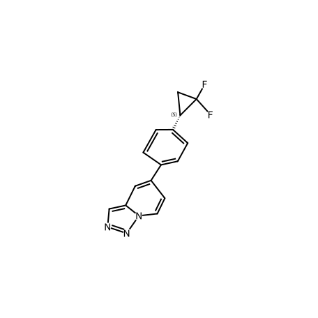 FC1(F)C[C@H]1c1ccc(-c2ccn3nncc3c2)cc1